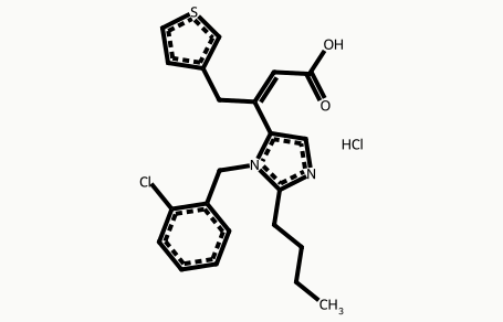 CCCCc1ncc(/C(=C\C(=O)O)Cc2ccsc2)n1Cc1ccccc1Cl.Cl